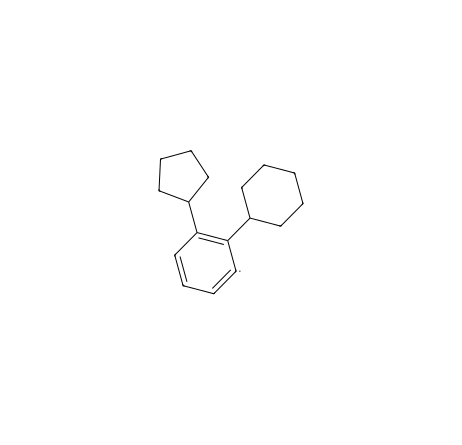 [c]1cccc(C2CCCC2)c1C1CCCCC1